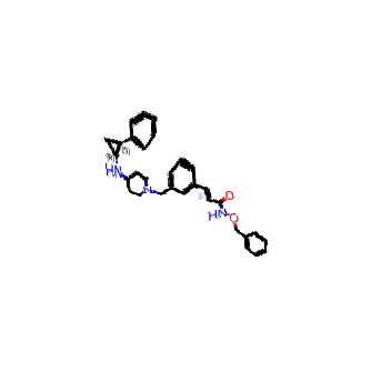 O=C(/C=C/c1cccc(CN2CCC(N[C@@H]3C[C@H]3c3ccccc3)CC2)c1)NOCc1ccccc1